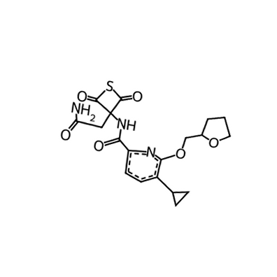 NC(=O)CC1(NC(=O)c2ccc(C3CC3)c(OCC3CCCO3)n2)C(=O)SC1=O